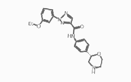 CCOc1cccc(-n2ncc(C(=O)Nc3ccc([C@H]4CNCCO4)cc3)n2)c1